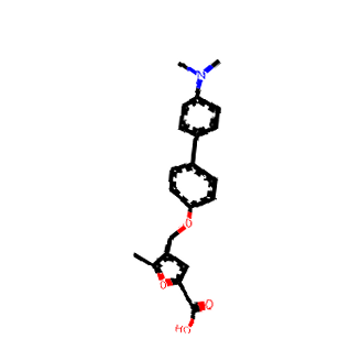 Cc1oc(C(=O)O)cc1COc1ccc(-c2ccc(N(C)C)cc2)cc1